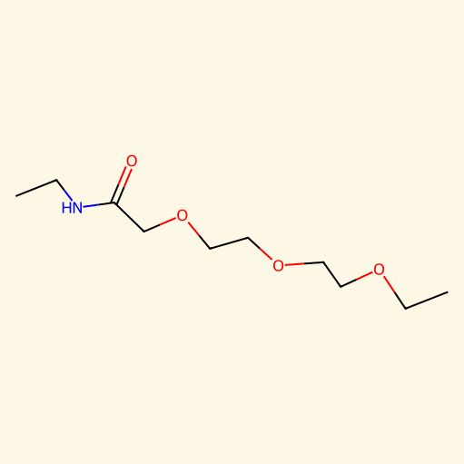 CCNC(=O)COCCOCCOCC